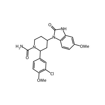 COc1ccc2c(c1)[nH]c(=O)n2C1CCN(C(N)=O)C(c2ccc(OC)c(Cl)c2)C1